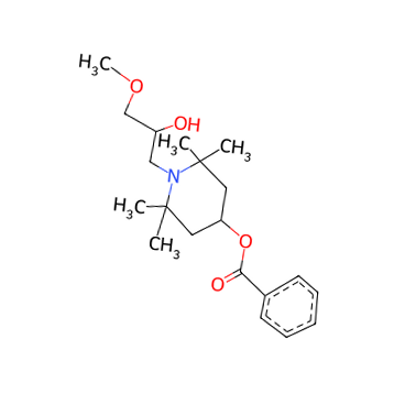 COCC(O)CN1C(C)(C)CC(OC(=O)c2ccccc2)CC1(C)C